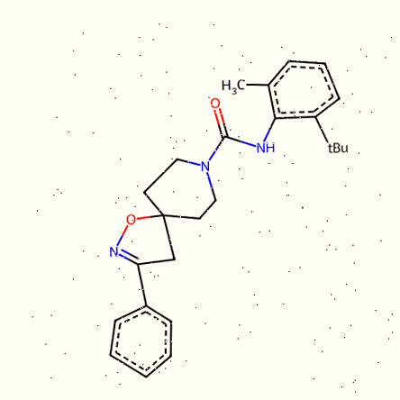 Cc1cccc(C(C)(C)C)c1NC(=O)N1CCC2(CC1)CC(c1ccccc1)=NO2